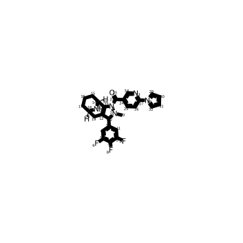 CN1C(c2cc(F)c(F)c(F)c2)C2=C([C@@H]3CCC[C@H](C2)N3)N1C(=O)c1ccc(-n2cccc2)nc1